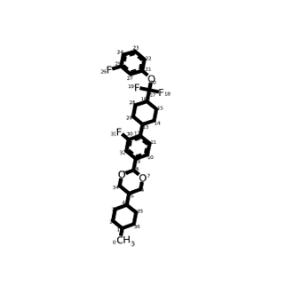 CC1CCC(C2COC(c3ccc(C4CCC(C(F)(F)Oc5cccc(F)c5)CC4)c(F)c3)OC2)CC1